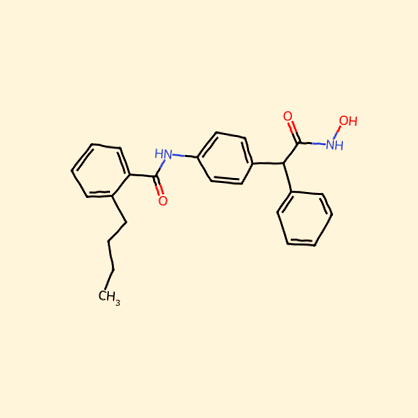 CCCCc1ccccc1C(=O)Nc1ccc(C(C(=O)NO)c2ccccc2)cc1